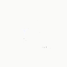 CCCCCCCCC(C(=O)O)N(CC)CC